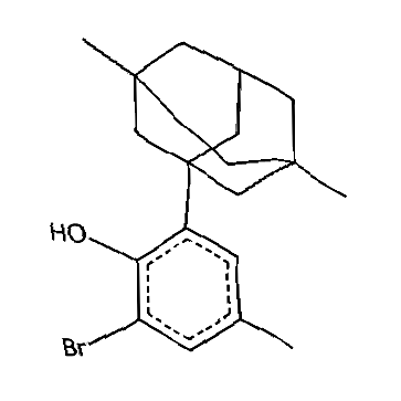 Cc1cc(Br)c(O)c(C23CC4CC(C)(CC(C)(C4)C2)C3)c1